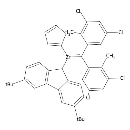 Cc1c(Cl)cc(Cl)cc1[C](c1cc(Cl)cc(Cl)c1C)=[Zr]([C]1=CC=CC1)[CH]1c2ccc(C(C)(C)C)cc2-c2cc(C(C)(C)C)ccc21